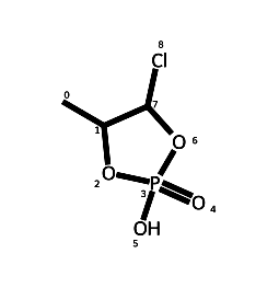 CC1OP(=O)(O)OC1Cl